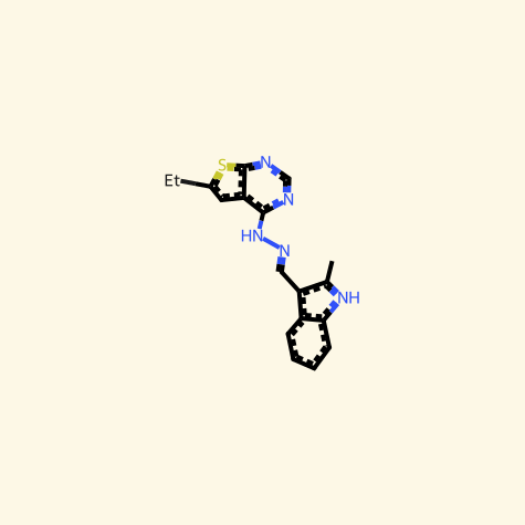 CCc1cc2c(NN=Cc3c(C)[nH]c4ccccc34)ncnc2s1